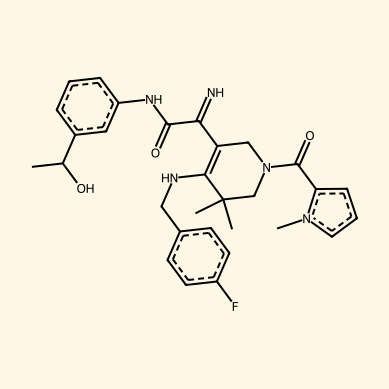 CC(O)c1cccc(NC(=O)C(=N)C2=C(NCc3ccc(F)cc3)C(C)(C)CN(C(=O)c3cccn3C)C2)c1